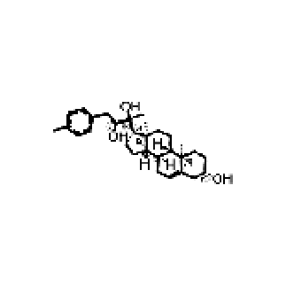 Cc1ccc(C[C@H](O)[C@](C)(O)[C@H]2CC[C@H]3[C@@H]4CC=C5C[C@@H](O)CC[C@]5(C)[C@H]4CC[C@]23C)cc1